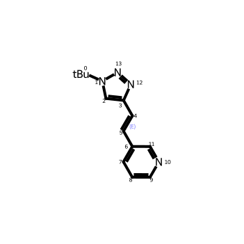 CC(C)(C)n1cc(/C=C/c2cccnc2)nn1